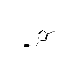 C#CCn1cc(C(C)C)cn1